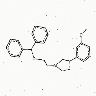 COc1cccc(C2CCN(CCOC(c3ccccc3)c3ccccc3)C2)c1